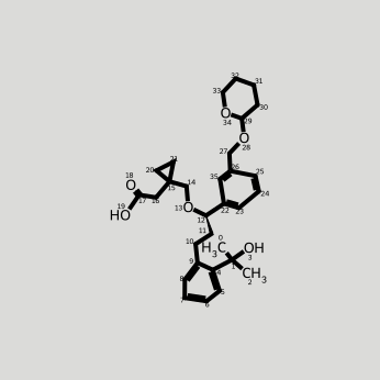 CC(C)(O)c1ccccc1CC[C@@H](OCC1(CC(=O)O)CC1)c1cccc(COC2CCCCO2)c1